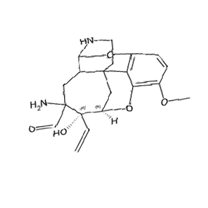 C=C[C@]1(O)[C@H]2CC34CCNC(Cc5ccc(OC)c(c53)O2)C4CC1(N)C=O